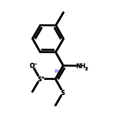 CS/C(=C(\N)c1cccc(C)c1)[S+](C)[O-]